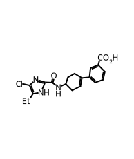 CCc1[nH]c(C(=O)NC2CC=C(c3cccc(C(=O)O)c3)CC2)nc1Cl